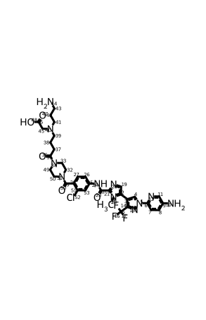 Cn1c(-c2cn(-c3ccc(N)cn3)nc2C(F)(F)F)cnc1C(=O)Nc1ccc(C(=O)N2CCN(C(=O)CCCN(CCCN)CC(=O)O)CC2)c(Cl)c1